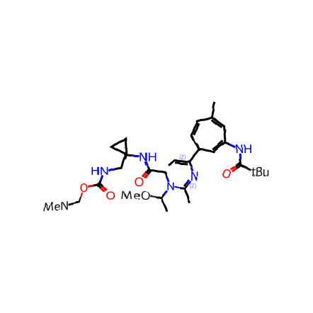 C/C=C(\N=C(\C)N(CC(=O)NC1(CNC(=O)OCNC)CC1)C(C)OC)C1C=CC(C)=CC(NC(=O)C(C)(C)C)=C1